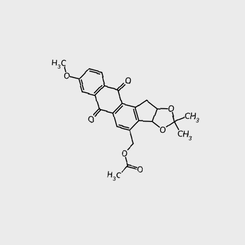 COc1ccc2c(c1)C(=O)c1cc(COC(C)=O)c3c(c1C2=O)CC1OC(C)(C)OC31